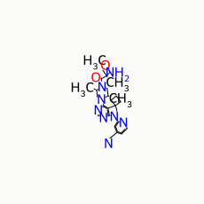 COC[C@](C)(N)C(=O)N1C[C@H](C)N(c2ncnc3c2C2(CCC2)CN3c2cc(C#N)ccn2)C[C@H]1C